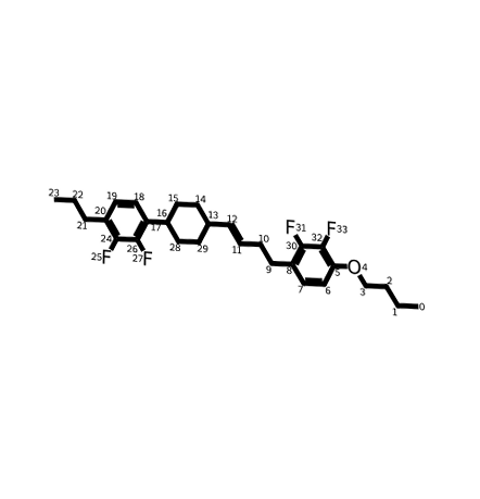 CCCCOc1ccc(CC/C=C/C2CCC(c3ccc(CCC)c(F)c3F)CC2)c(F)c1F